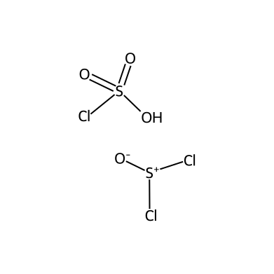 O=S(=O)(O)Cl.[O-][S+](Cl)Cl